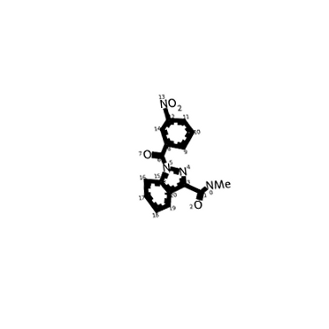 CNC(=O)c1nn(C(=O)c2cccc([N+](=O)[O-])c2)c2ccccc12